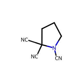 N#CN1CCCC1(C#N)C#N